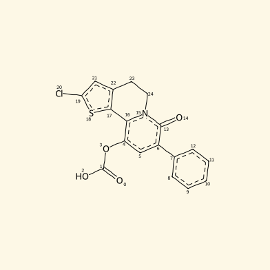 O=C(O)Oc1cc(-c2ccccc2)c(=O)n2c1-c1sc(Cl)cc1CC2